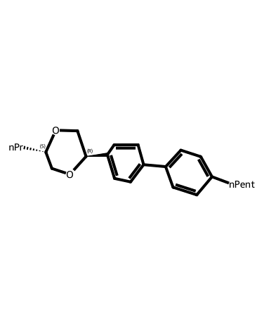 CCCCCc1ccc(-c2ccc([C@@H]3CO[C@@H](CCC)CO3)cc2)cc1